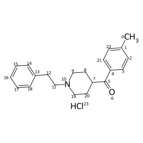 Cc1ccc(C(=O)C2CCN(CCc3ccccc3)CC2)cc1.Cl